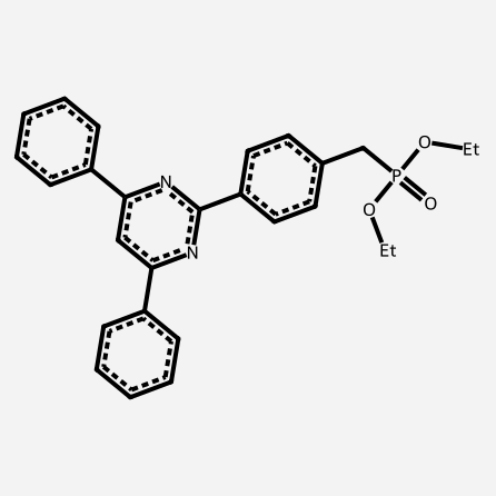 CCOP(=O)(Cc1ccc(-c2nc(-c3ccccc3)cc(-c3ccccc3)n2)cc1)OCC